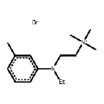 CCN(CC[N+](C)(C)C)c1cccc(C)c1.[Br-]